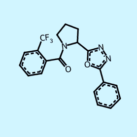 O=C(c1ccccc1C(F)(F)F)N1CCCC1c1nnc(-c2ccccc2)o1